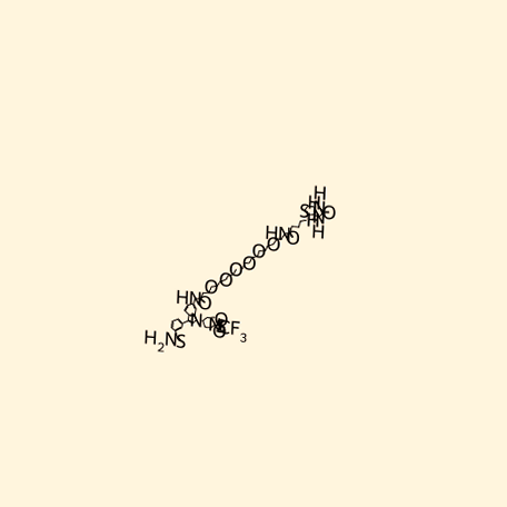 NC(=S)c1cccc(-c2cn(C3CCN(S(=O)(=O)C(F)(F)F)CC3)c3cc(NC(=O)CCOCCOCCOCCOCCOCCOCCNC(=O)CCCC[C@@H]4SC[C@@H]5NC(=O)N[C@@H]54)ccc23)c1